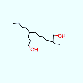 CCCCC(CCCO)CCCCC(CC)CO